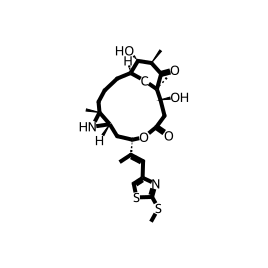 CSc1nc(/C=C(\C)[C@@H]2C[C@@H]3N[C@]3(C)CCC[C@@H]3C[C@@](C)(C(=O)[C@H](C)[C@H]3O)[C@@H](O)CC(=O)O2)cs1